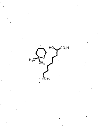 CCCCCCCCCCCCCCCCC(O)C(=O)O.C[Si]1(C)CCCCO1